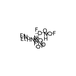 CCN(CC)CCCNc1nc(-c2cc(C(=O)Nc3ccc(F)cc3)cc(F)c2C)c2ccc(=O)n(-c3c(F)cccc3F)c2n1